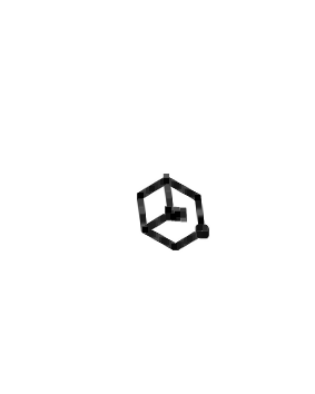 C1OCC2C[C]1N2